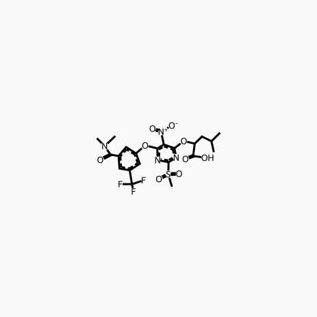 CC(C)CC(Oc1nc(S(C)(=O)=O)nc(Oc2cc(C(=O)N(C)C)cc(C(F)(F)F)c2)c1[N+](=O)[O-])C(=O)O